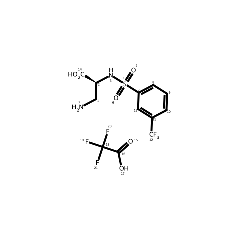 NC[C@H](NS(=O)(=O)c1cccc(C(F)(F)F)c1)C(=O)O.O=C(O)C(F)(F)F